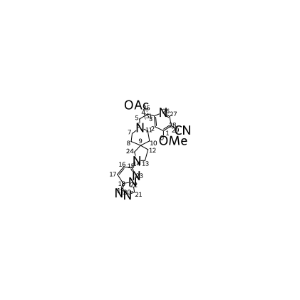 COc1cc([C@H](CN2CCC3(CC2)CCN(c2ccc4nncn4n2)C3)OC(C)=O)ncc1C#N